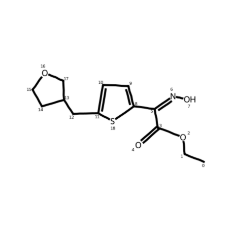 CCOC(=O)C(=NO)c1ccc(CC2CCOC2)s1